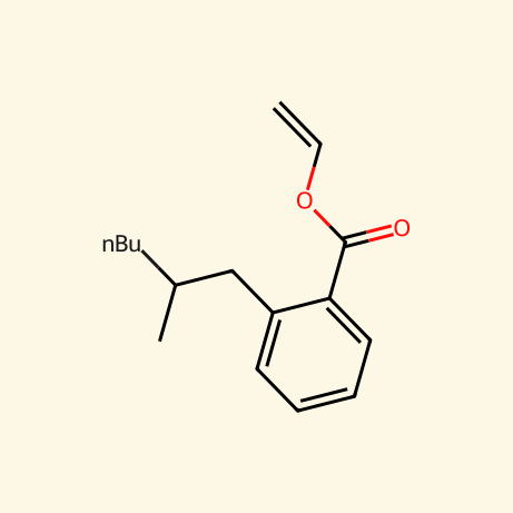 C=COC(=O)c1ccccc1CC(C)CCCC